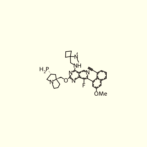 C#Cc1cccc2cc(OC)cc(-c3ncc4c(NCC5(N(C)C)CCC5)nc(OC[C@@]56CCCN5C[C@H](P)C6)nc4c3F)c12